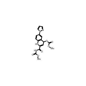 CC(C)(C)OC(=O)NC(=O)C1=CC(OC(=O)OC(C)(C)C)c2cc(-n3cccn3)ccc2N1